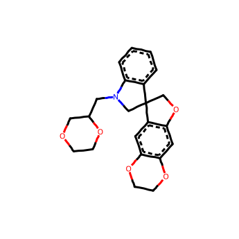 c1ccc2c(c1)N(CC1COCCO1)CC21COc2cc3c(cc21)OCCO3